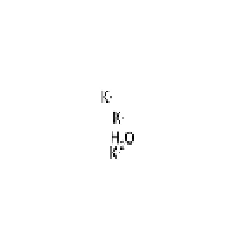 O.[K].[K].[K]